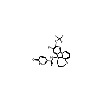 O=C(N[C@]1(c2ccc(OC(F)(F)F)c(F)c2)CCCOc2cccnc21)c1ccc(=O)[nH]c1